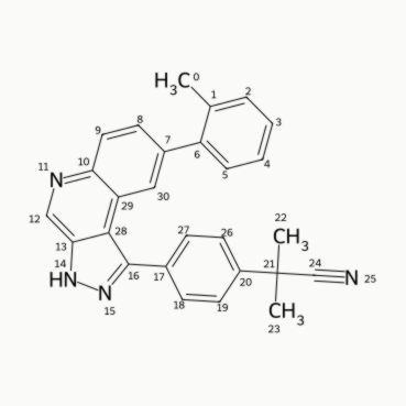 Cc1ccccc1-c1ccc2ncc3[nH]nc(-c4ccc(C(C)(C)C#N)cc4)c3c2c1